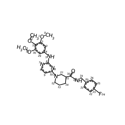 COc1cc(Nc2nccc(N3CCCC(C(=O)NCc4ccc(F)cc4)C3)n2)cc(OC)c1OC